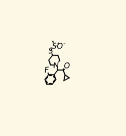 C[S+]([O-])SC1CCN(C(C(=O)C2CC2)c2ccccc2F)CC1